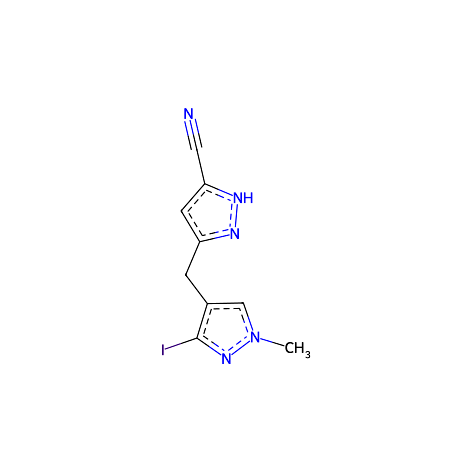 Cn1cc(Cc2cc(C#N)[nH]n2)c(I)n1